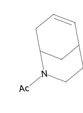 CC(=O)N1CCC2C=CCC1C2